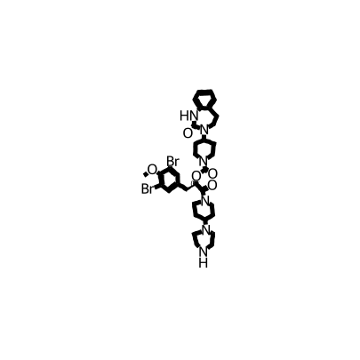 COc1c(Br)cc(C[C@@H](OC(=O)N2CCC(N3CCc4ccccc4NC3=O)CC2)C(=O)N2CCC(N3CCNCC3)CC2)cc1Br